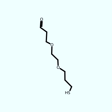 O=CCCOCCOCCCS